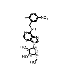 Cc1ccc([N+](=O)[O-])cc1CNc1ncnc2c1ncn2[C@@H]1O[C@H](CO)[C@@H](O)[C@H]1O